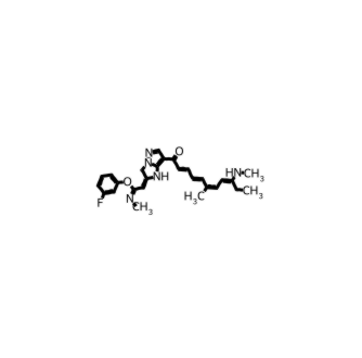 CC\C(=C/C=C(C)\C=C\C=C\C(=O)c1cnn2c1N/C(=C/C(=N\C)Oc1cccc(F)c1)C2)NC